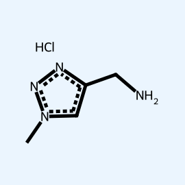 Cl.Cn1cc(CN)nn1